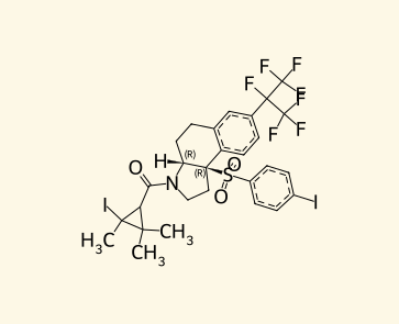 CC1(C)C(C(=O)N2CC[C@@]3(S(=O)(=O)c4ccc(I)cc4)c4ccc(C(F)(C(F)(F)F)C(F)(F)F)cc4CC[C@@H]23)C1(C)I